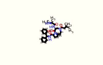 CN[C@@H](C)C(=O)N[C@H]1CN(C(=O)CC(C)C)CC[C@H]2CC[C@@H](C(=O)NC(c3ccccc3)c3ccccc3)N2C1O